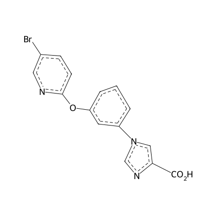 O=C(O)c1cn(-c2cccc(Oc3ccc(Br)cn3)c2)cn1